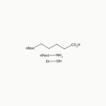 CCCCCCCCCCCCCC(=O)O.CCCCCN.CCO